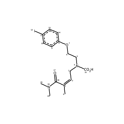 CC(=CCN(CCOc1ccc(I)cc1)C(=O)O)C(=O)N(C)C